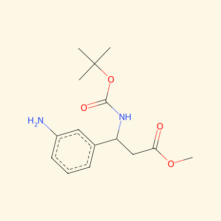 COC(=O)CC(NC(=O)OC(C)(C)C)c1cccc(N)c1